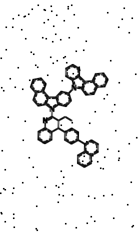 CCC1C(n2c3ccc(-n4c5ccccc5c5c6ccccc6ccc54)cc3c3c4ccccc4ccc32)=Nc2ccccc2C1c1ccc(-c2cccc3ccccc23)cc1